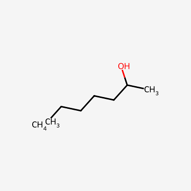 C.CCCCCC(C)O